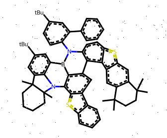 CC(C)(C)c1ccc(N2B3c4cc(C(C)(C)C)cc5c4N(c4c3c(cc3c4sc4ccccc43)-c3c2ccc2sc4cc6c(cc4c32)C(C)(C)CCC6(C)C)C2(C)CCCCC52C)c(-c2ccccc2)c1